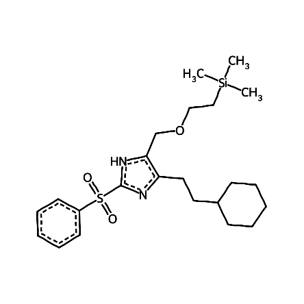 C[Si](C)(C)CCOCc1[nH]c(S(=O)(=O)c2ccccc2)nc1CCC1CCCCC1